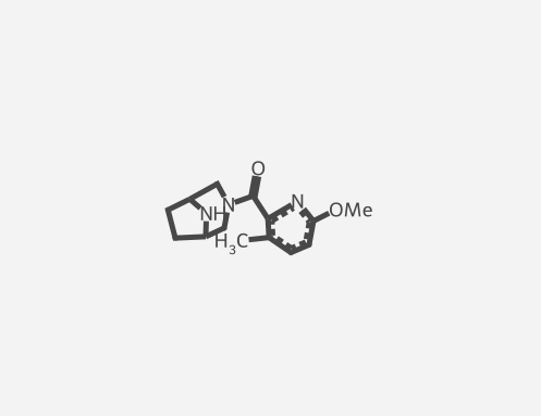 COc1ccc(C)c(C(=O)N2CC3CCC(C2)N3)n1